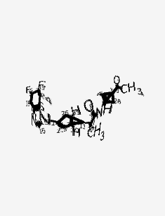 CC(=O)C12CC(NC(=O)C(C)[C@H]3[C@@H]4C[C@@H](n5cnc6cc(F)c(F)cc65)C[C@@H]43)(C1)C2